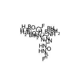 BC(B)(B)Nc1cc(Nc2cc(F)cc3c2OC(B)(B)C(B)(B)O3)nc2c(NC(=O)N[C@@H]3C[C@@H]3F)cnn12